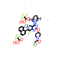 O=C(CCl)N1CCC(Oc2nc(N3C[C@H]4CC[C@@H](C3)N4)c3cnc(-c4cccc5cccc(Cl)c45)c(F)c3n2)CC1.O=C(O)C(F)(F)F.O=C(O)C(F)(F)F